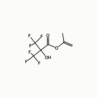 C=C(C)OC(=O)C(O)(C(F)(F)F)C(F)(F)F